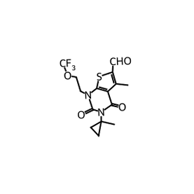 Cc1c(C=O)sc2c1c(=O)n(C1(C)CC1)c(=O)n2CCOC(F)(F)F